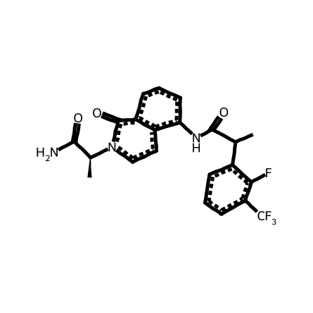 CC(C(=O)Nc1cccc2c(=O)n([C@@H](C)C(N)=O)ccc12)c1cccc(C(F)(F)F)c1F